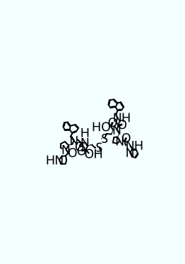 CSCC[C@@H](C(=O)O)N(C[C@@H]1CCCN1C(=O)CNc1ccccn1)C(=O)CNCc1cccc2ccccc12.CSCC[C@H](NC(=O)CN(Cc1cccc2ccccc12)C[C@@H]1CCCN1C(=O)C1CCCNC1)C(=O)O